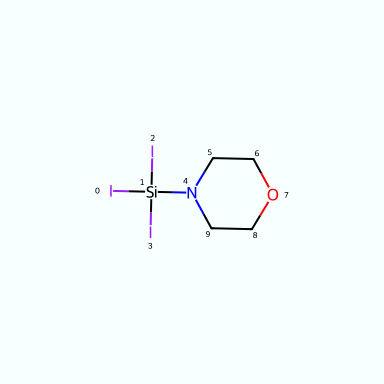 I[Si](I)(I)N1CCOCC1